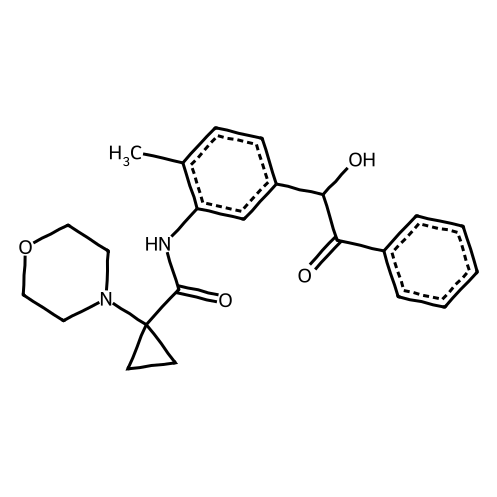 Cc1ccc(C(O)C(=O)c2ccccc2)cc1NC(=O)C1(N2CCOCC2)CC1